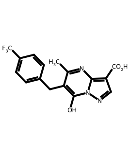 Cc1nc2c(C(=O)O)cnn2c(O)c1Cc1ccc(C(F)(F)F)cc1